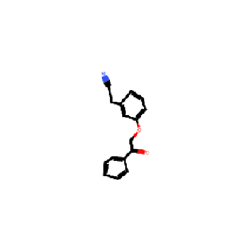 N#CCc1cccc(OCC(=O)c2ccccc2)c1